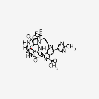 CC(=O)c1nn2c3c(nc(-c4cnc(C)nc4)cc13)CC=CCCCC(=O)NC[C@@]13C[C@@H](C(=O)Nc4nc(C(F)(F)F)ccc4C)N(C(=O)C2)[C@@H]1C3